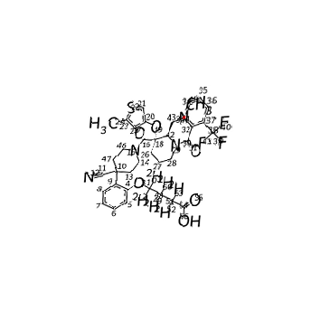 [2H]C([2H])(Oc1ccccc1C1(C#N)CCN(C(=O)[C@]2(Oc3csc(C)c3)CCCN(C(=O)c3ncccc3C(F)(F)F)[C@@H]2CCC)CC1)C([2H])([2H])C([2H])([2H])C(=O)O